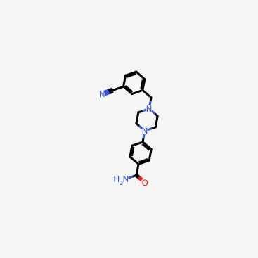 N#Cc1cccc(CN2CCN(c3ccc(C(N)=O)cc3)CC2)c1